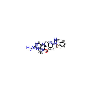 Cc1nc(NSc2ccccc2C#N)ccc1-c1nc2cnc(N)nc2n(C(C)C)c1=O